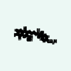 Cc1cc(NC(CCCCNS(=O)(=O)c2ccc(C(=O)O)cc2)C(=O)NO)cc(C)c1F